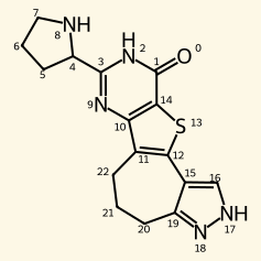 O=c1[nH]c(C2CCCN2)nc2c3c(sc12)-c1c[nH]nc1CCC3